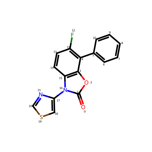 O=c1oc2c(-c3ccccc3)c(F)ccc2n1-c1cscn1